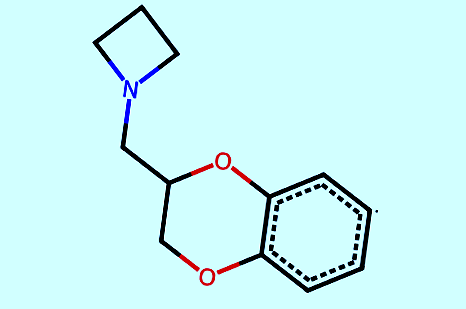 [c]1ccc2c(c1)OC(CN1CCC1)CO2